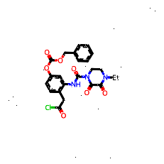 CCN1CCN(C(=O)Nc2cc(OC(=O)OCc3ccccc3)ccc2CC(=O)Cl)C(=O)C1=O